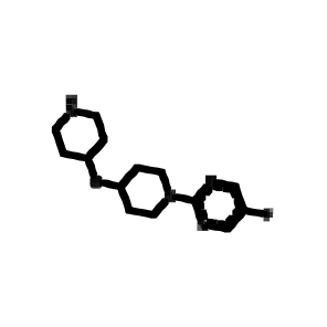 Fc1cnc(N2CCC(OC3CCNCC3)CC2)nc1